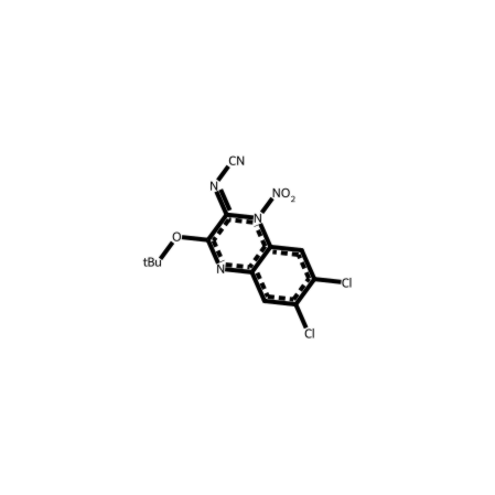 CC(C)(C)Oc1nc2cc(Cl)c(Cl)cc2n([N+](=O)[O-])/c1=N\C#N